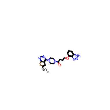 O=C(CCCOc1cccc2[nH]nnc12)N1CCN(c2ncnc3sc([N+](=O)[O-])cc23)CC1